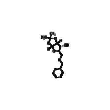 CC1(C)O[C@H]2O[C@H](COCc3ccccc3)[C@@H](O)[C@H]2O1